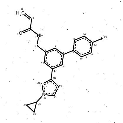 C=CC(=O)NCc1cc(-c2ccc(F)cc2)cc(-c2ccn(C3CC3)n2)c1